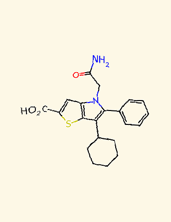 NC(=O)Cn1c(-c2ccccc2)c(C2CCCCC2)c2sc(C(=O)O)cc21